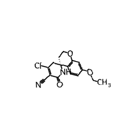 CCOc1ccc2c(c1)OCC[C@]21CC(Cl)=C(C#N)C(=O)N1